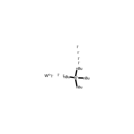 CCCC[N+](CCCC)(CCCC)CCCC.[I-].[I-].[I-].[I-].[I-].[I-].[I-].[W+6]